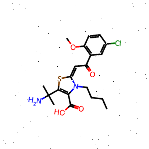 CCCCN1C(=CC(=O)c2cc(Cl)ccc2OC)SC(C(C)(C)N)=C1C(=O)O